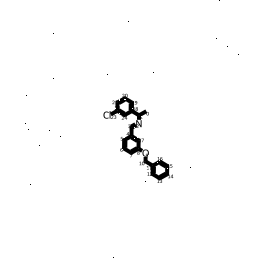 CC(/N=C/c1cccc(OCc2ccccc2)c1)c1cccc(Cl)c1